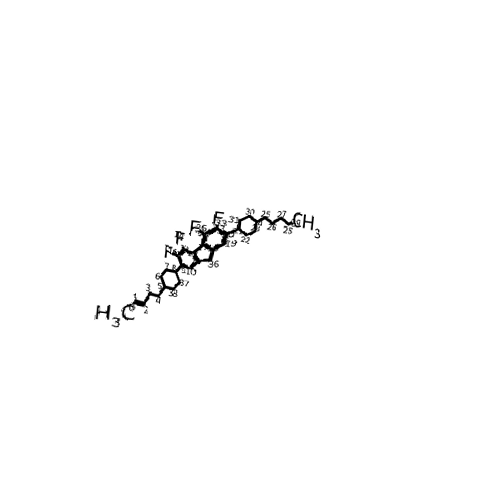 C/C=C/CCC1CCC(c2cc3c(c(F)c2F)-c2c(cc(C4CCC(CCCCC)CC4)c(F)c2F)C3)CC1